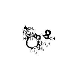 C[C@@H]1CC/C=C\[C@@H]2C[C@@]2(C(=O)NS(=O)(=O)C2(C)CC2)NC(=O)[C@@H]2C[C@@H](Oc3ncc(O)c4ccccc34)CN2C(=O)[C@@H](NC(=O)O)[C@H](C)C1